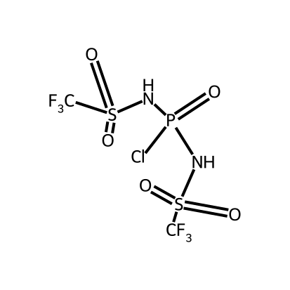 O=P(Cl)(NS(=O)(=O)C(F)(F)F)NS(=O)(=O)C(F)(F)F